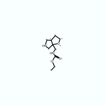 CCOC(=O)NCC12CNCC1CCO2